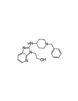 OCCn1c(NC2CCN(Cc3ccccc3)CC2)nc2cccnc21